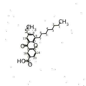 CCCCCCCCc1cc(SC)cc2c(=O)c3cc(C(=O)O)ccc3oc12